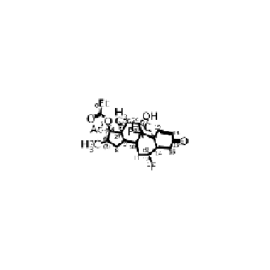 CCC(=O)O[C@]1(C(C)=O)[C@H](C)CC2C3C[C@H](F)C4=CC(=O)C=C[C@]4(C)[C@@]3(F)[C@@H](O)C[C@@]21C